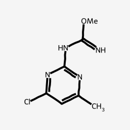 COC(=N)Nc1nc(C)cc(Cl)n1